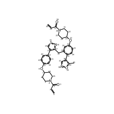 C=CC(=O)N1CCC(Oc2ccc(-c3csnc3Cc3cc(OC4CCN(C(=O)C=C)CC4)ccc3-c3cnoc3C)cc2)CC1